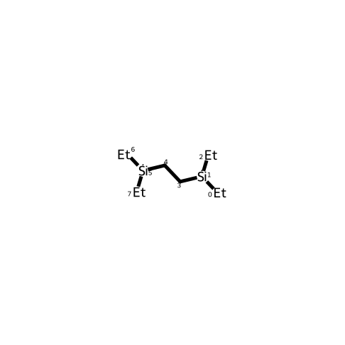 CC[Si](CC)CC[Si](CC)CC